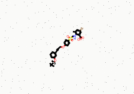 Cc1cc(Br)cc(C(=O)O)c1NCS(=O)(=O)c1ccc(OCC#Cc2cccc(O[Si](C)(C)C(C)(C)C)c2)cc1